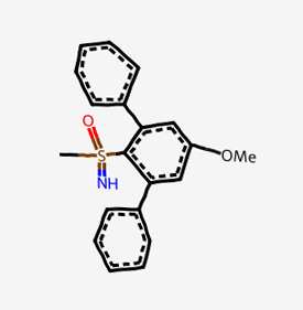 COc1cc(-c2ccccc2)c(S(C)(=N)=O)c(-c2ccccc2)c1